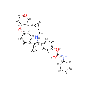 N#Cc1c(-c2ccc(OC(=O)NC3CCCCC3)cc2)n(CC2CC2)c2cc(OC3CCOCC3)ccc12